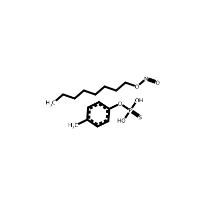 CCCCCCCCON=O.Cc1ccc(OP(O)(O)=S)cc1